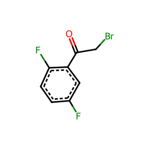 O=C(CBr)c1cc(F)ccc1F